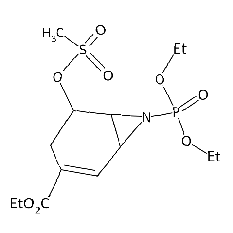 CCOC(=O)C1=CC2C(C(OS(C)(=O)=O)C1)N2P(=O)(OCC)OCC